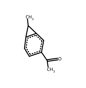 CC(=O)c1ccc2c(c1)C2C